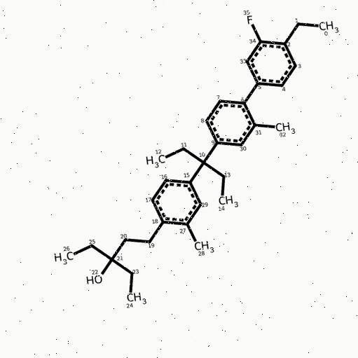 CCc1ccc(-c2ccc(C(CC)(CC)c3ccc(CCC(O)(CC)CC)c(C)c3)cc2C)cc1F